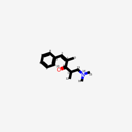 CC(=Cc1ccccc1)C(=O)C(C)CN(C)C